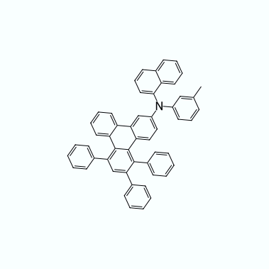 Cc1cccc(N(c2ccc3c(c2)c2ccccc2c2c(-c4ccccc4)cc(-c4ccccc4)c(-c4ccccc4)c32)c2cccc3ccccc23)c1